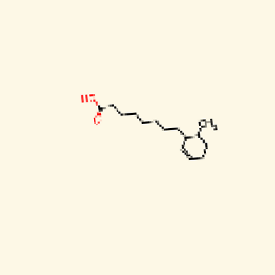 CC1CCC=CC1CCCCCCCC(=O)O